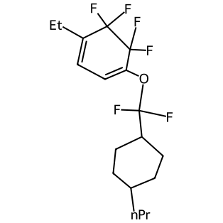 CCCC1CCC(C(F)(F)OC2=CC=C(CC)C(F)(F)C2(F)F)CC1